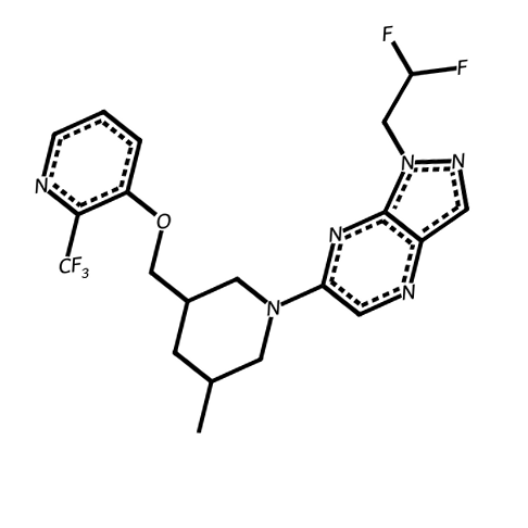 CC1CC(COc2cccnc2C(F)(F)F)CN(c2cnc3cnn(CC(F)F)c3n2)C1